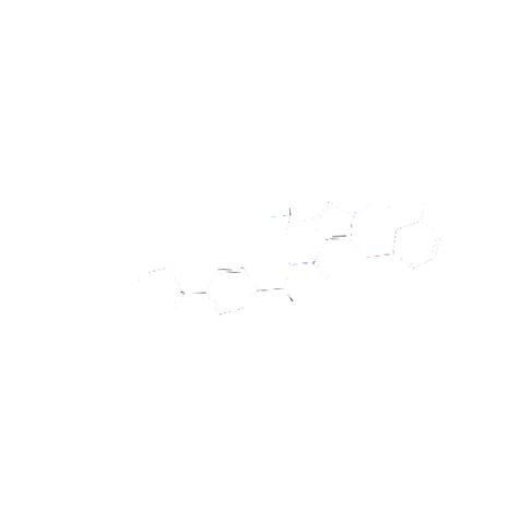 COC(=O)c1ccc([C@H](C)NC(=O)c2c(C(F)(F)F)nn(C)c2OC2=CC=CC(Cl)C2)cc1